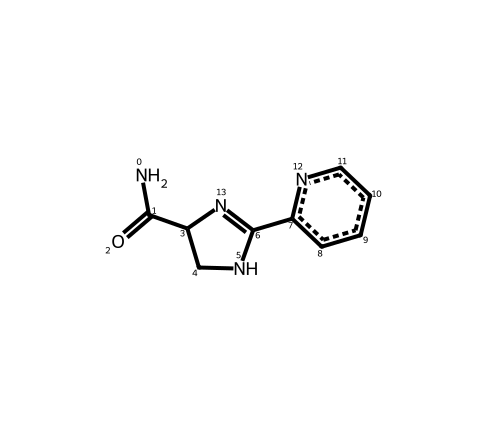 NC(=O)C1CNC(c2ccccn2)=N1